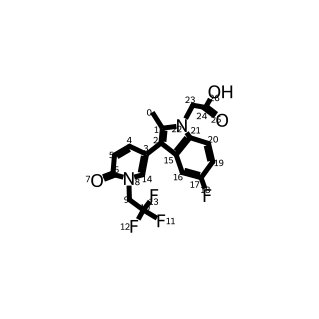 Cc1c(-c2ccc(=O)n(CC(F)(F)F)c2)c2cc(F)ccc2n1CC(=O)O